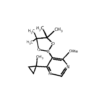 COc1ncnc(C2(C)CC2)c1B1OC(C)(C)C(C)(C)O1